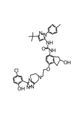 Cc1ccc(-n2nc(C(C)(C)C)cc2NC(=O)Nc2ccc(OCCN3CCn4c(nnc4-c4cc(Cl)ccc4O)C3)c3c2CC(O)C3)cc1